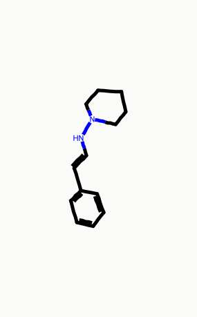 C(=Cc1ccccc1)NN1CCCCC1